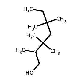 CCC(C)(C)CC(C)(C)N(C)CO